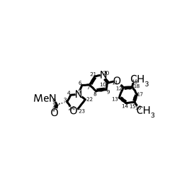 CNC(=O)[C@@H]1CN(Cc2ccc(Oc3ccc(C)cc3C)nc2)CCO1